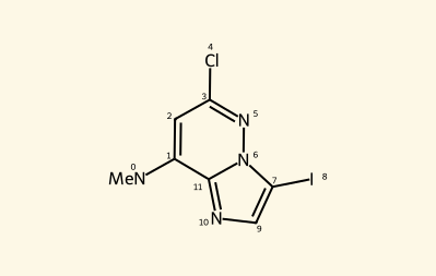 CNc1cc(Cl)nn2c(I)cnc12